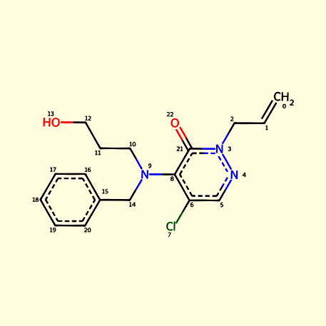 C=CCn1ncc(Cl)c(N(CCCO)Cc2ccccc2)c1=O